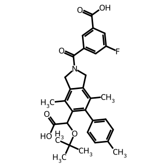 Cc1ccc(-c2c(C)c3c(c(C)c2C(OC(C)(C)C)C(=O)O)CN(C(=O)c2cc(F)cc(C(=O)O)c2)C3)cc1